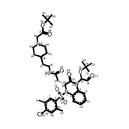 Cc1cc(S(=O)(=O)N2c3ccccc3N(C(C=O)OC(C)(C)C)C(=O)[C@H]2CC(=O)NCCC2CCN(CC(=O)OC(C)(C)C)CC2)c(C)cc1Cl